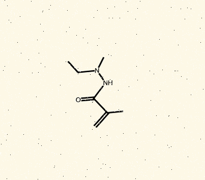 C=C(C)C(=O)NN(C)CC